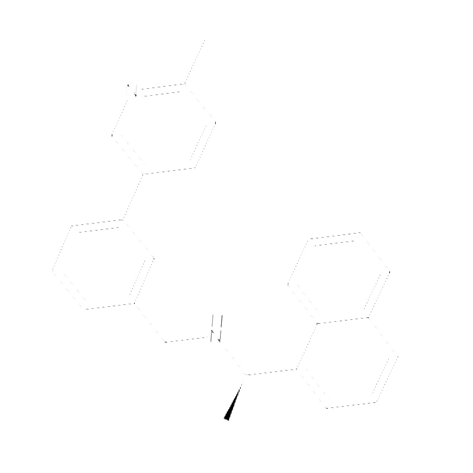 Cc1ccc(-c2cccc(CN[C@H](C)c3cccc4ccccc34)c2)cn1